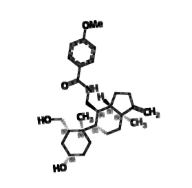 C=C1CC[C@H]2[C@H](CNC(=O)c3ccc(OC)cc3)[C@@H]([C@@]3(C)CC[C@H](O)C[C@@H]3CO)CC[C@]12C